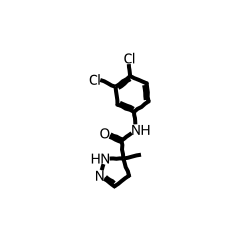 CC1(C(=O)Nc2ccc(Cl)c(Cl)c2)CC=NN1